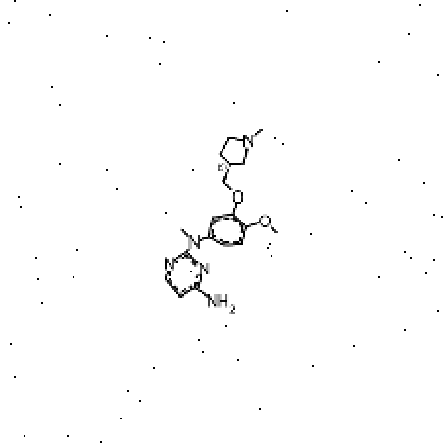 COc1ccc(N(C)c2nccc(N)n2)cc1OC[C@H]1CCN(C)C1